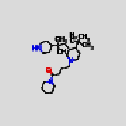 CC(C)(C)C1CCN(CCCC(=O)N2CCCCC2)CC1CC(C)(C)C1CCNCC1